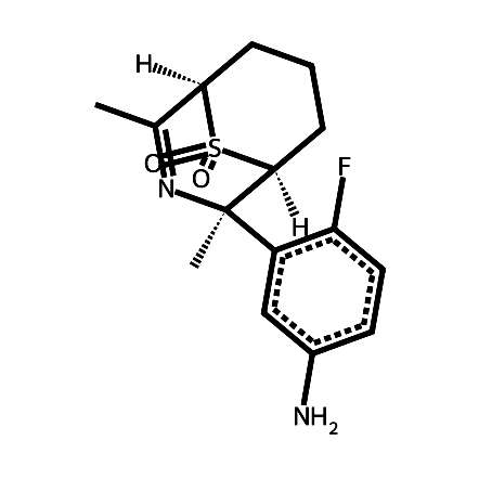 CC1=N[C@](C)(c2cc(N)ccc2F)[C@@H]2CCC[C@H]1S2(=O)=O